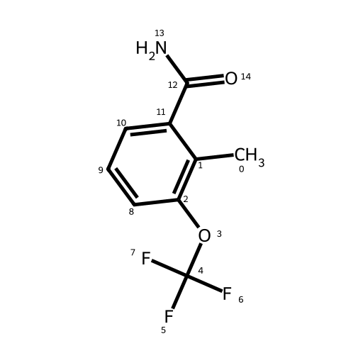 Cc1c(OC(F)(F)F)cccc1C(N)=O